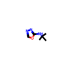 CC(C)(C)Nc1nnco1